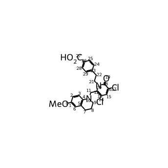 COc1ccc2c(c1)CCCN2Cc1c(Cl)cc(Cl)c(=O)n1CCc1ccc(C(=O)O)cc1